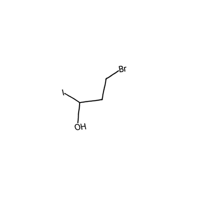 OC(I)CCBr